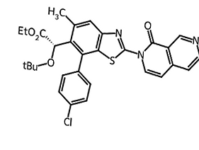 CCOC(=O)[C@@H](OC(C)(C)C)c1c(C)cc2nc(-n3ccc4ccncc4c3=O)sc2c1-c1ccc(Cl)cc1